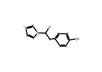 N#Cc1ccc(CC(Cl)n2ccnc2)cc1